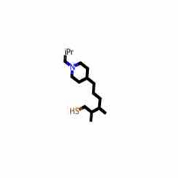 CC(C)CN1CCC(CCCC(C)C(C)CS)CC1